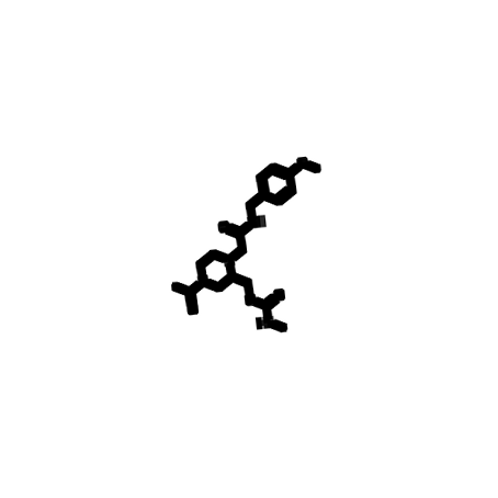 CNC(=O)OCC1CN(C(C)=O)CCN1CC(=O)NCc1ccc(OC)cc1